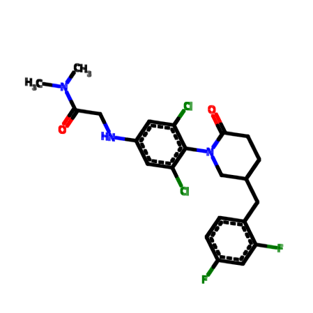 CN(C)C(=O)CNc1cc(Cl)c(N2CC(Cc3ccc(F)cc3F)CCC2=O)c(Cl)c1